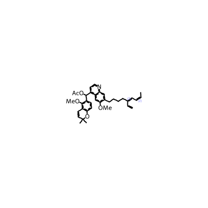 C=C/C(=C\C=C/C)CCCCc1cc2nccc(C(OC(C)=O)c3ccc4c(c3OC)C=CC(C)(C)O4)c2cc1OC